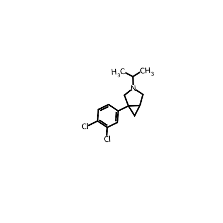 CC(C)N1CC2CC2(c2ccc(Cl)c(Cl)c2)C1